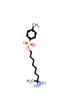 Cc1ccc(S(=O)(=O)OCCCCCCCC2(C)NN2)cc1